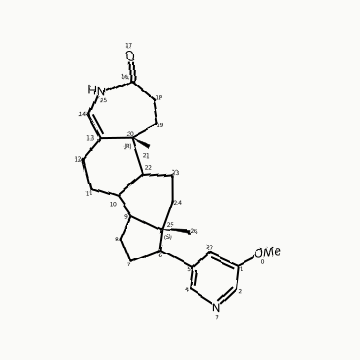 COc1cncc(C2CCC3C4CCC5=CNC(=O)CC[C@]5(C)C4CC[C@]23C)c1